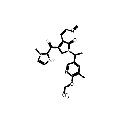 C=N/C=C\C1=C(C(=O)C2NC=CN2C)CN(C(C)c2cnc(OCC(F)(F)F)c(C)c2)C1=O